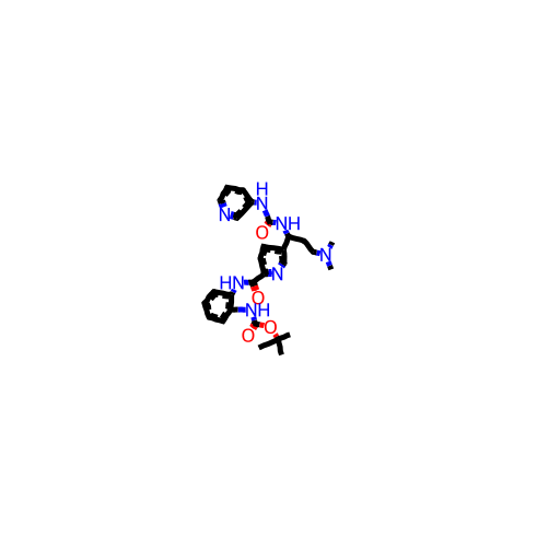 CN(C)CCC(NC(=O)Nc1cccnc1)c1ccc(C(=O)Nc2ccccc2NC(=O)OC(C)(C)C)nc1